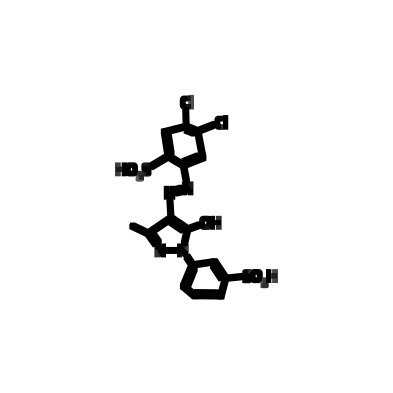 Cc1nn(-c2cccc(S(=O)(=O)O)c2)c(O)c1N=Nc1cc(Cl)c(Cl)cc1S(=O)(=O)O